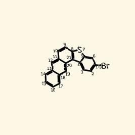 Brc1ccc2c(c1)sc1ccc3cc4ccccc4cc3c12